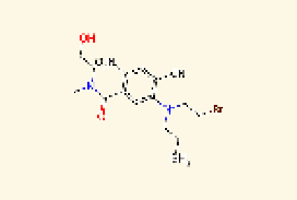 BCCN(CCBr)c1cc(C(=O)N(C)CCO)c([N+](=O)[O-])cc1C#N